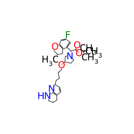 CC1COc2cc(F)cc(C(C(=O)OC(C)(C)C)N3CCC(OCCCCc4ccc5c(n4)NCCC5)C3)c2C1